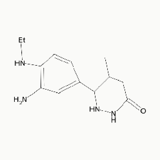 CCNc1ccc(C2NNC(=O)CC2C)cc1N